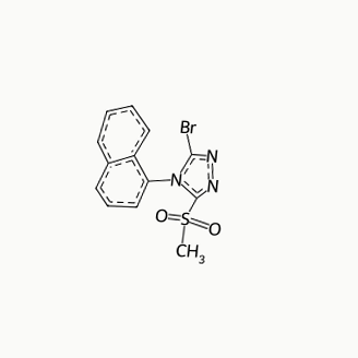 CS(=O)(=O)c1nnc(Br)n1-c1cccc2ccccc12